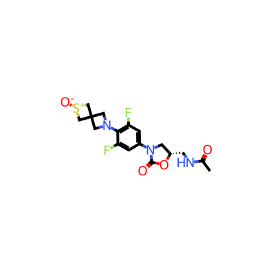 CC(=O)NC[C@H]1CN(c2cc(F)c(N3CC4(C3)C[S+]([O-])C4)c(F)c2)C(=O)O1